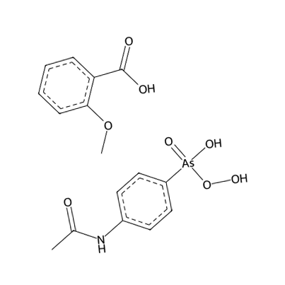 CC(=O)Nc1ccc([As](=O)(O)OO)cc1.COc1ccccc1C(=O)O